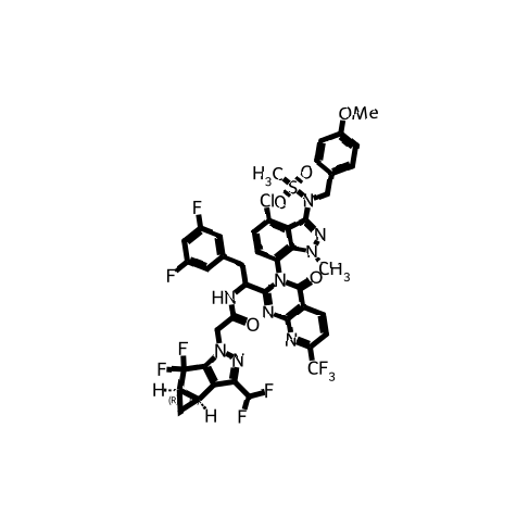 COc1ccc(CN(c2nn(C)c3c(-n4c(C(Cc5cc(F)cc(F)c5)NC(=O)Cn5nc(C(F)F)c6c5C(F)(F)[C@@H]5C[C@H]65)nc5nc(C(F)(F)F)ccc5c4=O)ccc(Cl)c23)S(C)(=O)=O)cc1